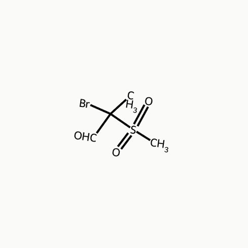 CC(Br)(C=O)S(C)(=O)=O